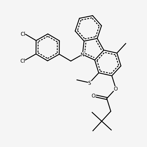 CSc1c(OC(=O)CC(C)(C)C)cc(C)c2c3ccccc3n(Cc3ccc(Cl)c(Cl)c3)c12